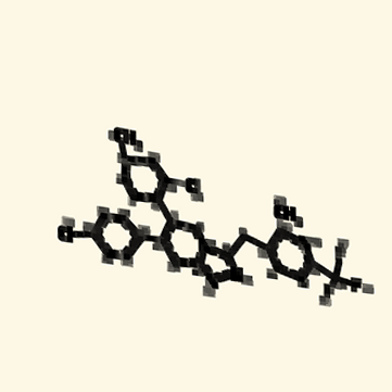 Cc1ccc(-c2cn3c(Cc4ccc(C(F)(F)F)nc4C)nnc3cc2-c2ccc(Cl)cc2)c(Cl)c1